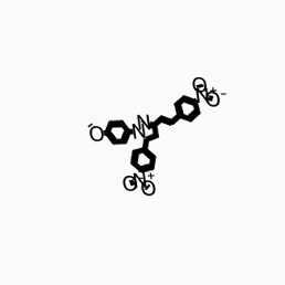 COc1ccc(N2N=C(C=Cc3ccc([N+](=O)[O-])cc3)CC2c2ccc([N+](=O)[O-])cc2)cc1